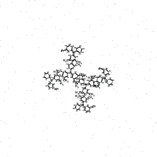 Cc1cc(N(c2cc(C)c(-c3c(C)cc(N(c4ccccc4)c4cccc(C(C)C)c4)cc3C)c(C)c2)c2cc(C)c(-c3c(C)cc(N(c4cc(C)c(-c5c(C)cc(N(c6ccccc6)c6cccc(C(C)C)c6)cc5C)c(C)c4)c4cc(C)c(-c5c(C)cc(N(c6ccccc6)c6cccc(C(C)C)c6)cc5C)c(C)c4)cc3C)c(C)c2)ccc1-c1c(C)cc(N(c2ccccc2)c2cccc(C(C)C)c2)cc1C